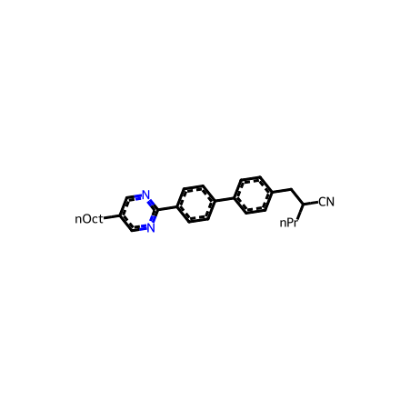 CCCCCCCCc1cnc(-c2ccc(-c3ccc(CC(C#N)CCC)cc3)cc2)nc1